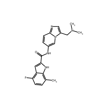 Cc1ccc(F)c2cc(C(=O)Nc3ccc4ncc(CN(C)C)n4c3)[nH]c12